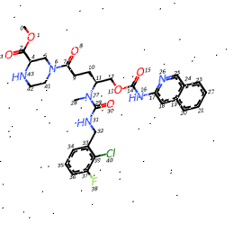 COC(=O)C1CN(C(=O)CC[C@@H](COC(=O)Nc2cc3ccccc3cn2)N(C)C(=O)NCc2cccc(F)c2Cl)CCN1